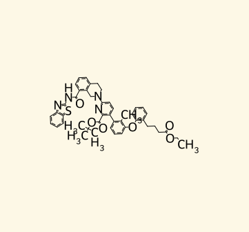 CCOC(=O)CCCc1ccccc1Oc1cccc(-c2ccc(N3CCc4cccc(C(=O)Nc5nc6ccccc6s5)c4C3)nc2C(=O)OC(C)(C)C)c1C